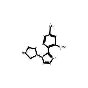 COc1cc(N)ccc1-c1nccn1N1CCNC1